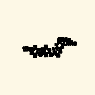 COc1cc2c(cc1OC)CN(Cc1ccnc(Oc3ccc(C(C)(C)C)cc3)c1)CC2